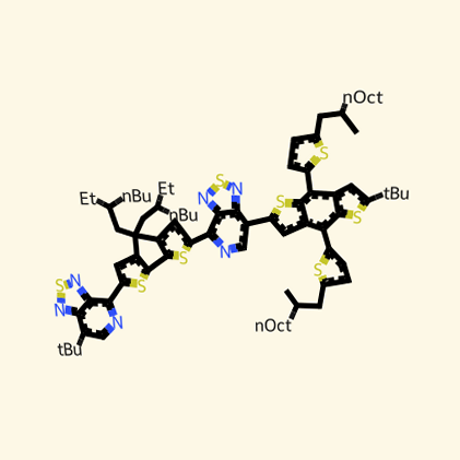 CCCCCCCCC(C)Cc1ccc(-c2c3cc(C(C)(C)C)sc3c(-c3ccc(CC(C)CCCCCCCC)s3)c3cc(-c4cnc(-c5cc6c(s5)-c5sc(-c7ncc(C(C)(C)C)c8nsnc78)cc5C6(CC(CC)CCCC)CC(CC)CCCC)c5nsnc45)sc23)s1